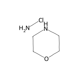 C1COCCN1.NCl